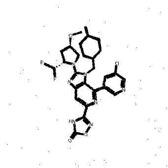 CO[C@@H]1C[C@@H](C(F)F)N(c2nc3cc(-c4noc(=O)[nH]4)nc(-c4cncc(Cl)c4)c3n2CC2CCC(C)CC2)C1